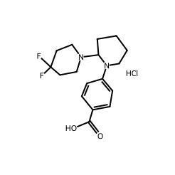 Cl.O=C(O)c1ccc(N2CCCCC2N2CCC(F)(F)CC2)cc1